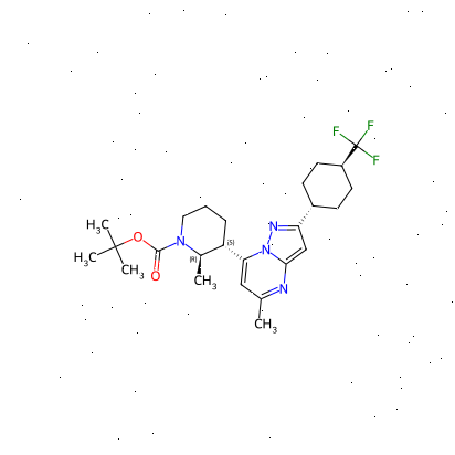 Cc1cc([C@H]2CCCN(C(=O)OC(C)(C)C)[C@@H]2C)n2nc([C@H]3CC[C@H](C(F)(F)F)CC3)cc2n1